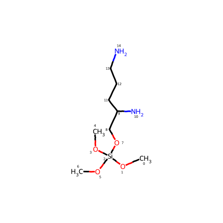 CO[Si](OC)(OC)OCC(N)CCCN